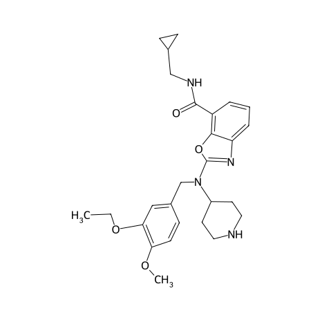 CCOc1cc(CN(c2nc3cccc(C(=O)NCC4CC4)c3o2)C2CCNCC2)ccc1OC